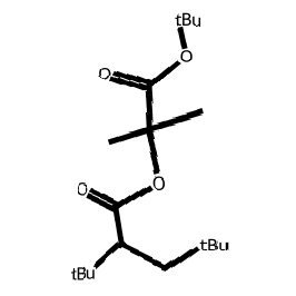 CC(C)(C)CC(C(=O)OC(C)(C)C(=O)OC(C)(C)C)C(C)(C)C